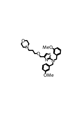 COc1cccc(CN(Cc2cccc(OC)c2)c2nc(COCCCN3CCOCC3)cs2)c1